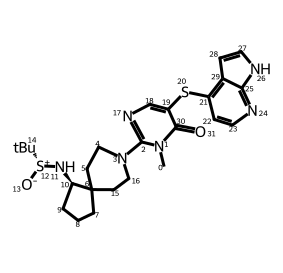 Cn1c(N2CCC3(CCC[C@H]3N[S@+]([O-])C(C)(C)C)CC2)ncc(Sc2ccnc3[nH]ccc23)c1=O